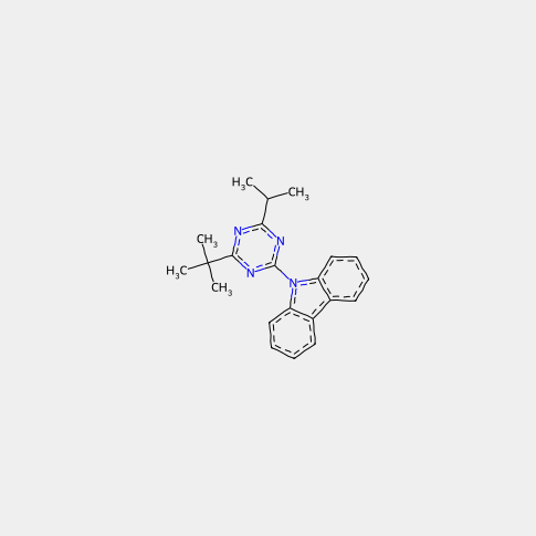 CC(C)c1nc(-n2c3ccccc3c3ccccc32)nc(C(C)(C)C)n1